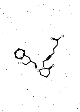 O=C(O)CCCC#CCN1C(=O)CCC[C@@H]1/C=C/C(CO)Cc1ccccc1